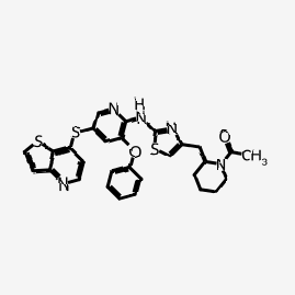 CC(=O)N1CCCCC1Cc1csc(Nc2ncc(Sc3ccnc4ccsc34)cc2Oc2ccccc2)n1